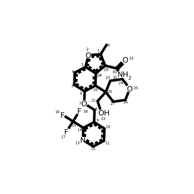 Cc1oc2ccc(OCc3cccnc3C(F)(F)F)c(C3(CO)CCOCC3)c2c1C(N)=O